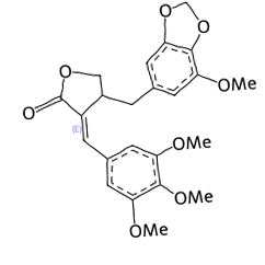 COc1cc(/C=C2/C(=O)OCC2Cc2cc(OC)c3c(c2)OCO3)cc(OC)c1OC